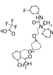 Cc1cccc(CO[C@@H]2CCC[C@H](OCC[N+](C)(C(=O)Nc3cccc(F)c3)c3cccnc3)C2)c1C(=O)O.O=C(O)C(F)(F)F